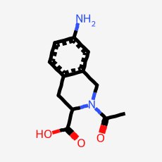 CC(=O)N1Cc2cc(N)ccc2CC1C(=O)O